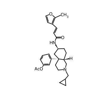 CC(=O)Oc1cccc([C@@]23CCN(CC4CC4)C[C@H]2CC[C@H](NC(=O)/C=C/c2ccoc2C)C3)c1